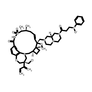 C=CC(=C)[C@]1(CCl)COc2ccc3cc2N(C[C@@H]2CC[C@H]2[C@@](CN2CCN4CCN(C(=O)CC[S+]([O-])c5ccccc5)C[C@H]4C2)(OC)/C=C/C[C@H](C)[C@@H](C)S(=O)(=O)NC3=O)C1